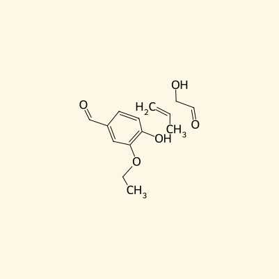 C=CC.CCOc1cc(C=O)ccc1O.O=CCO